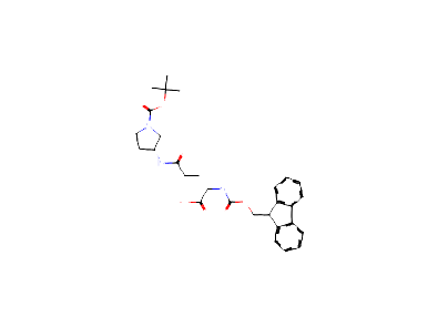 CC(C)(C)OC(=O)N1CC[C@H](NC(=O)CC[C@H](NC(=O)OCC2c3ccccc3-c3ccccc32)C(=O)O)C1